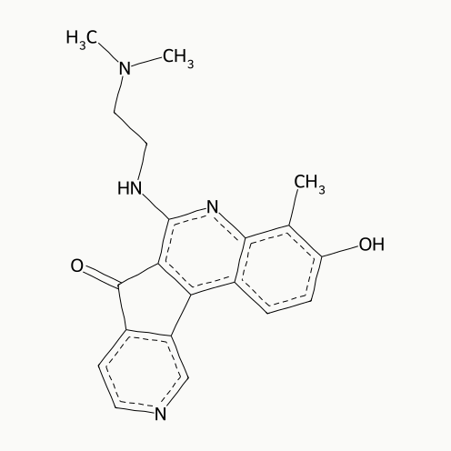 Cc1c(O)ccc2c3c(c(NCCN(C)C)nc12)C(=O)c1ccncc1-3